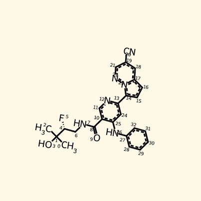 CC(C)(O)[C@H](F)CNC(=O)c1cnc(-c2ccc3cc(C#N)cnn23)cc1Nc1ccccc1